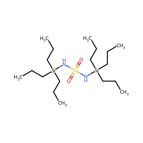 CCC[Si](CCC)(CCC)NS(=O)(=O)N[Si](CCC)(CCC)CCC